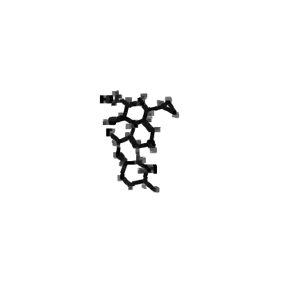 CC1CCC2=CC(F)C3=C(OC=C4C(C5CC5)N=C(C(=O)O)C(=O)N43)C2N1